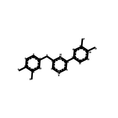 Cc1ccc(Cc2cncc(-c3ccc(C)c(C)c3)n2)cc1C